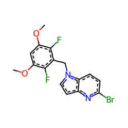 COc1cc(OC)c(F)c(Cn2ccc3nc(Br)ccc32)c1F